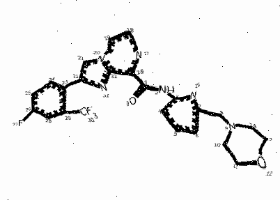 O=C(Nc1cccc(CN2CCOCC2)n1)c1nccn2cc(-c3ccc(F)cc3C(F)(F)F)nc12